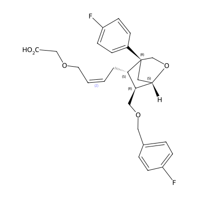 O=C(O)COC/C=C\C[C@H]1[C@H](COCc2ccc(F)cc2)[C@@H]2C[C@@]1(c1ccc(F)cc1)CO2